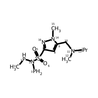 CPN(P)S(=O)(=O)c1cc(CN(C)C(C)C)n(C)n1